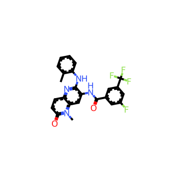 Cc1ccccc1Nc1nc2ccc(=O)n(C)c2cc1NC(=O)c1cc(F)cc(C(F)(F)F)c1